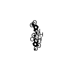 COc1ccc(C(=O)NC(=O)Nc2nc3ccc(S(C)(=O)=O)cc3s2)c(Cl)c1OC